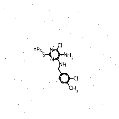 CCCSc1nc(Cl)c(N)c(NCc2ccc(C)c(Cl)c2)n1